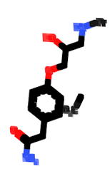 CC(=O)O.CC(C)NCC(O)COc1ccc(CC(N)=O)cc1